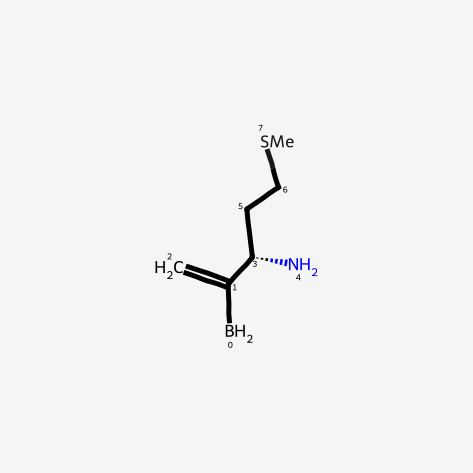 BC(=C)[C@@H](N)CCSC